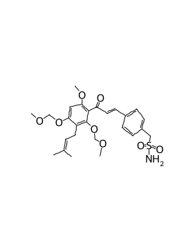 COCOc1cc(OC)c(C(=O)C=Cc2ccc(CS(N)(=O)=O)cc2)c(OCOC)c1CC=C(C)C